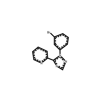 Brc1cccc(-n2ncnc2-c2ccccn2)c1